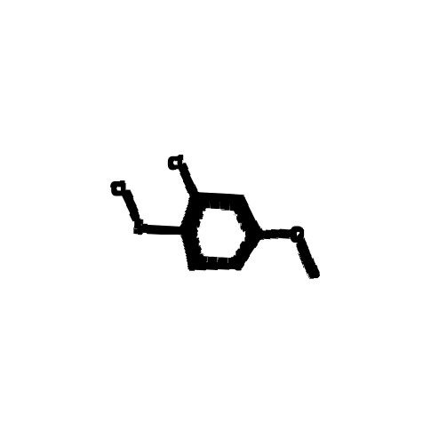 COc1ccc(SCl)c(Cl)c1